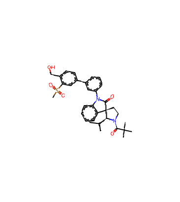 CC(C)[C@@H]1N(C(=O)C(C)(C)C)CC[C@@]12C(=O)N(c1cccc(-c3ccc(CO)c(S(C)(=O)=O)c3)c1)c1ccccc12